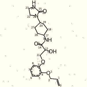 C=CCOc1ccccc1OCC(O)C(=O)NC1CCC(N2CCNC2=O)CC1